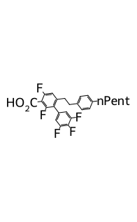 CCCCCc1ccc(CCc2cc(F)c(C(=O)O)c(F)c2-c2cc(F)c(F)c(F)c2)cc1